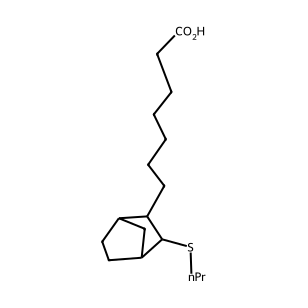 CCCSC1C2CCC(C2)C1CCCCCCC(=O)O